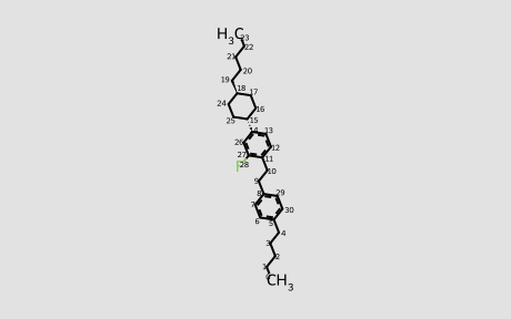 CCCCCc1ccc(CCc2ccc([C@H]3CC[C@H](CCCCC)CC3)cc2F)cc1